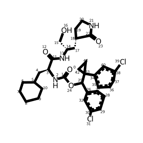 O=C(N[C@@H](CC1CCCCC1)C(=O)N[C@H](CO)C[C@@H]1CCNC1=O)OC(c1cccc(Cl)c1)C1(c2cccc(Cl)c2)CC1